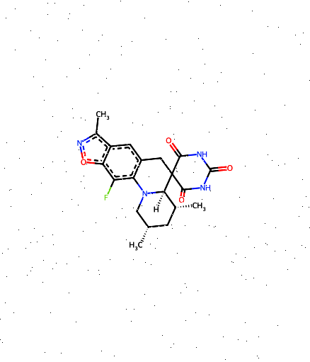 Cc1noc2c(F)c3c(cc12)CC1(C(=O)NC(=O)NC1=O)[C@H]1[C@H](C)C[C@H](C)CN31